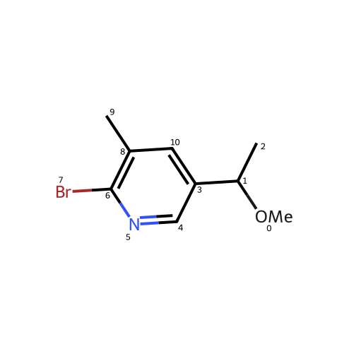 COC(C)c1cnc(Br)c(C)c1